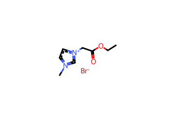 CCOC(=O)C[n+]1ccn(C)c1.[Br-]